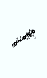 C[SiH2][C@H](NCc1ccccn1)C(=O)NCc1ccc(CNCCCNC2CCC(F)(F)CC2)cc1